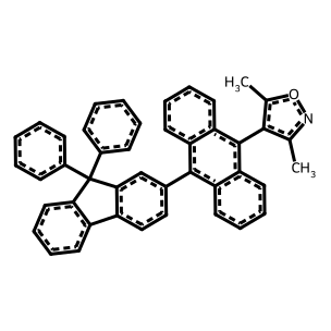 Cc1noc(C)c1-c1c2ccccc2c(-c2ccc3c(c2)C(c2ccccc2)(c2ccccc2)c2ccccc2-3)c2ccccc12